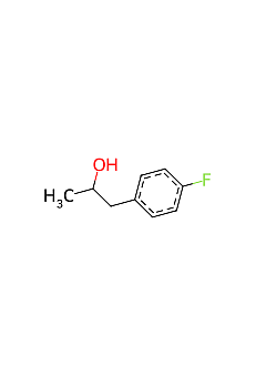 CC(O)Cc1ccc(F)cc1